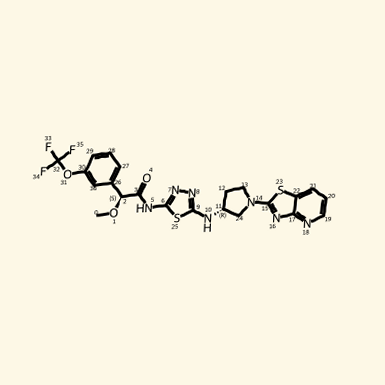 CO[C@H](C(=O)Nc1nnc(N[C@@H]2CCN(c3nc4ncccc4s3)C2)s1)c1cccc(OC(F)(F)F)c1